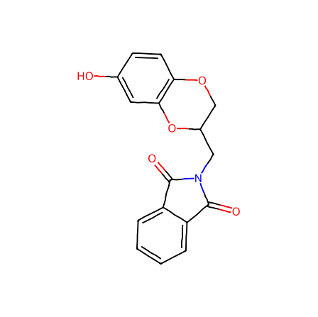 O=C1c2ccccc2C(=O)N1CC1COc2ccc(O)cc2O1